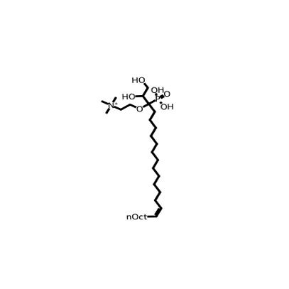 CCCCCCCC/C=C\CCCCCCCCCCCCC(OCC[N+](C)(C)C)(C(O)CO)P(=O)(O)O